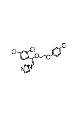 Clc1ccc(OCCOC(=Cn2ccnc2)c2ccc(Cl)cc2Cl)cc1